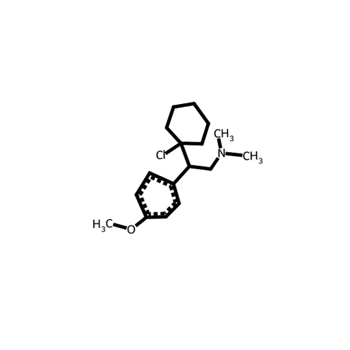 COc1ccc(C(CN(C)C)C2(Cl)CCCCC2)cc1